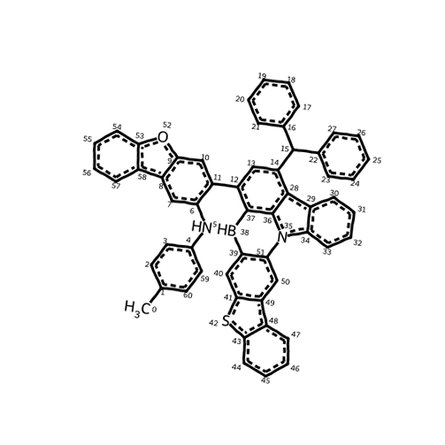 Cc1ccc(Nc2cc3c(cc2-c2cc(C(c4ccccc4)c4ccccc4)c4c5ccccc5n5c4c2Bc2cc4sc6ccccc6c4cc2-5)oc2ccccc23)cc1